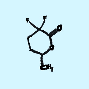 CC1CCC(F)(F)C(=O)O1